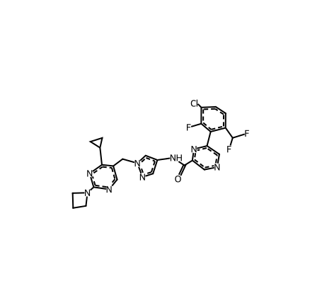 O=C(Nc1cnn(Cc2cnc(N3CCC3)nc2C2CC2)c1)c1cncc(-c2c(C(F)F)ccc(Cl)c2F)n1